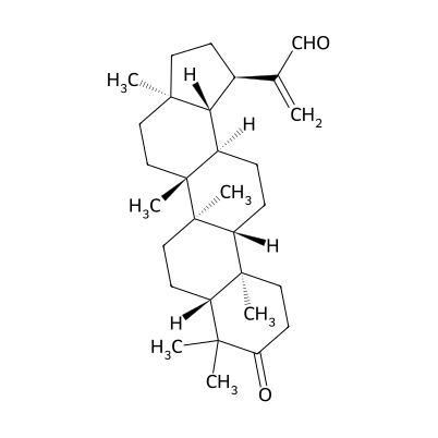 C=C(C=O)[C@@H]1CC[C@]2(C)CC[C@]3(C)[C@H](CC[C@@H]4[C@@]5(C)CCC(=O)C(C)(C)[C@@H]5CC[C@]43C)[C@@H]12